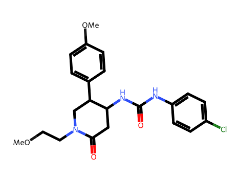 COCCN1CC(c2ccc(OC)cc2)C(NC(=O)Nc2ccc(Cl)cc2)CC1=O